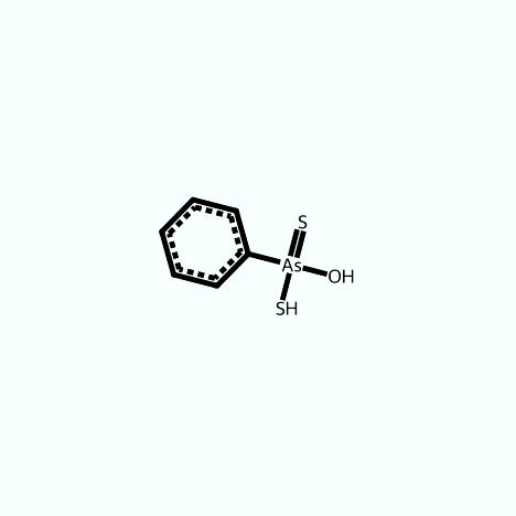 O[As](=S)(S)c1ccccc1